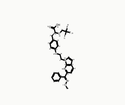 CO/N=C(\c1ccccc1)c1ccc2ccn(CCOc3ccc(C[C@H](OCC(F)(F)F)C(=O)O)cc3)c2n1